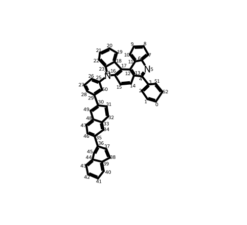 c1ccc(-c2nc3ccccc3c3c2ccc2c3c3ccccc3n2-c2cccc(-c3ccc4cc(-c5ccc6ccccc6c5)ccc4c3)c2)cc1